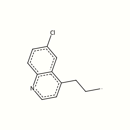 [CH2]CCc1ccnc2ccc(Cl)cc12